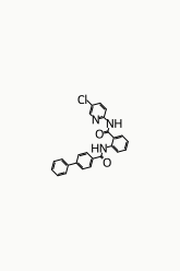 O=C(Nc1ccccc1C(=O)Nc1ccc(Cl)cn1)c1ccc(-c2ccccc2)cc1